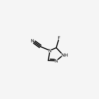 N#CN1C=NNC1F